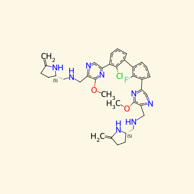 C=C1CC[C@@H](CNCc2ncc(-c3cccc(-c4cccc(-c5cnc(CNC[C@@H]6CCC(=C)N6)c(OC)n5)c4Cl)c3F)nc2OC)N1